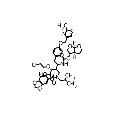 Cc1nc(COc2ccc(CC(NC(=O)O[C@H]3CO[C@H]4OCC[C@H]43)C(CN(CC(C)C)S(=O)(=O)c3ccc4c(c3)OCO4)[C@H](OCCCl)C(=O)O)cc2)cs1